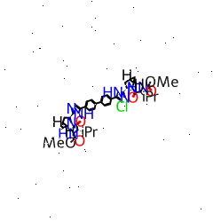 COC(=O)N[C@H](C(=O)N1[C@@H]2C[C@@H]2C[C@H]1c1ncc(-c2ccc(-c3ccc(-c4[nH]c([C@@H]5C[C@H]6C[C@H]6N5C(=O)[C@@H](NC(=O)OC)C(C)C)nc4Cl)cc3)cc2)[nH]1)C(C)C